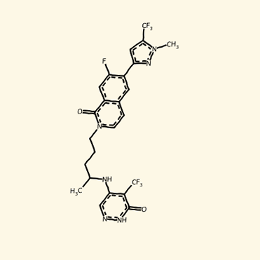 CC(CCCn1ccc2cc(-c3cc(C(F)(F)F)n(C)n3)c(F)cc2c1=O)Nc1cn[nH]c(=O)c1C(F)(F)F